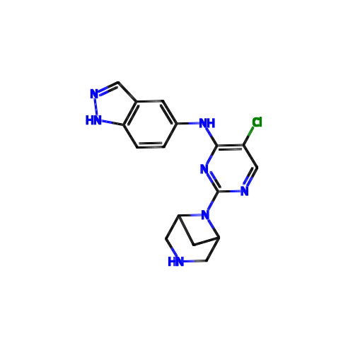 Clc1cnc(N2C3CNCC2C3)nc1Nc1ccc2[nH]ncc2c1